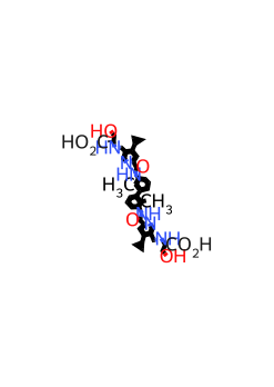 Cc1c(NC(=O)c2cc(C3CC3)c(CN[C@H](CO)C(=O)O)cn2)cccc1-c1cccc(NC(=O)c2cc(C3CC3)c(CN[C@H](CO)C(=O)O)cn2)c1C